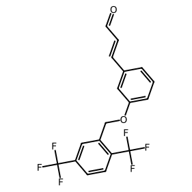 O=C/C=C/c1cccc(OCc2cc(C(F)(F)F)ccc2C(F)(F)F)c1